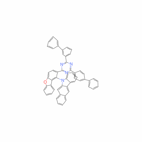 c1ccc(-c2ccc(-c3nc(-c4cccc(-c5ccccc5)c4)nc(-c4ccc5oc6ccccc6c5c4-n4c5ccccc5c5cc6ccccc6cc54)n3)cc2)cc1